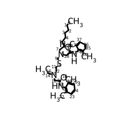 CCCCCCCCN(CSCCN(CC)CC(=O)Nc1c(C)cccc1C)CC(=O)Nc1c(C)cccc1C